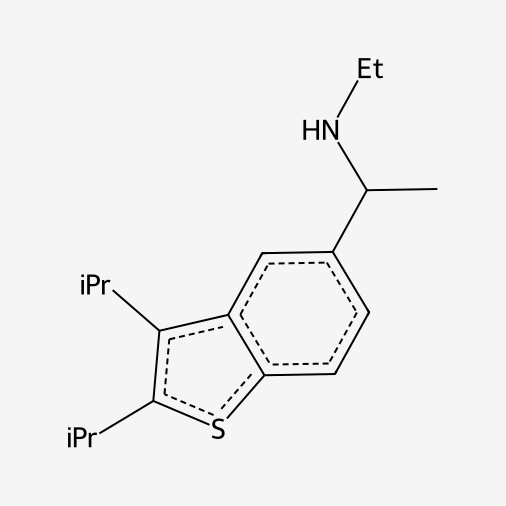 CCNC(C)c1ccc2sc(C(C)C)c(C(C)C)c2c1